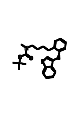 CN(CCCCc1ccccc1Sc1csc2ccccc12)C(=O)OC(C)(C)C